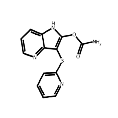 NC(=O)Oc1[nH]c2cccnc2c1Sc1ccccn1